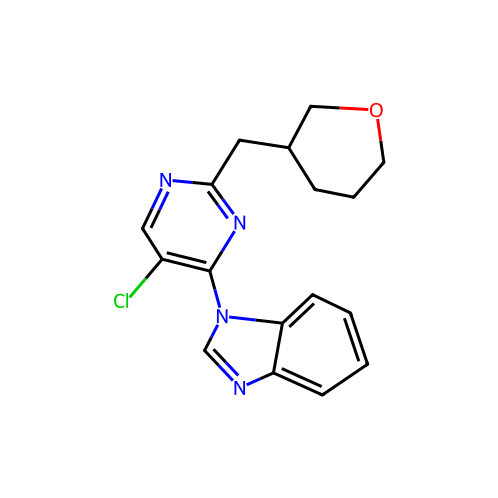 Clc1cnc(CC2CCCOC2)nc1-n1cnc2ccccc21